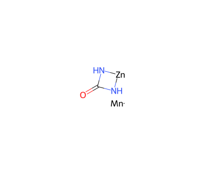 O=C1[NH][Zn][NH]1.[Mn]